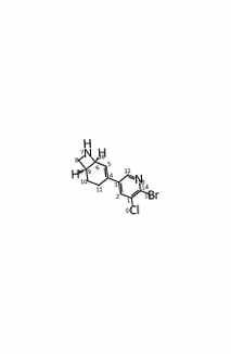 Clc1cc(C2=C[C@H]3NC[C@H]3CC2)cnc1Br